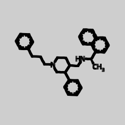 C[C@@H](NCC1CCN(CCCc2ccccc2)CC1c1ccccc1)c1cccc2ccccc12